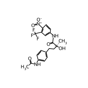 CC(=O)Nc1ccc(CC[C@](C)(O)C(=O)Nc2ccc([N+](=O)[O-])c(C(F)(F)F)c2)cc1